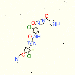 Cn1c(-c2ccc(OCC#N)c(Cl)c2F)cnc1C(=O)Nc1ccc(C(=O)N2CCN(C(=O)C3CCNCC3)CC2)c(Cl)c1